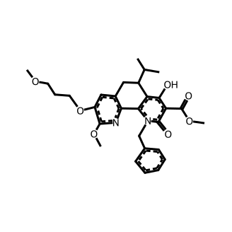 COCCCOc1cc2c(nc1OC)-c1c(c(O)c(C(=O)OC)c(=O)n1Cc1ccccc1)C(C(C)C)C2